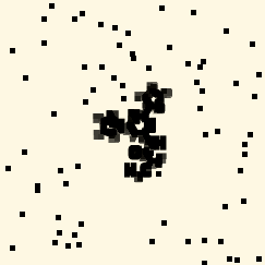 CC(F)C(=O)Nc1cc(-n2cccn2)nc(-c2cccs2)n1